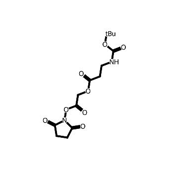 CC(C)(C)OC(=O)NCCC(=O)OCC(=O)ON1C(=O)CCC1=O